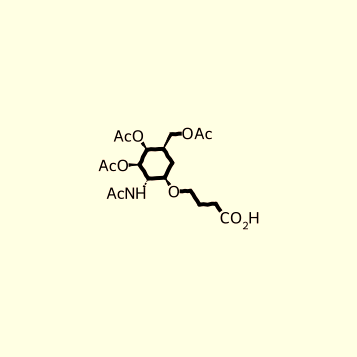 CC(=O)N[C@@H]1[C@@H](OC(C)=O)[C@@H](OC(C)=O)[C@@H](COC(C)=O)C[C@H]1OCCCC(=O)O